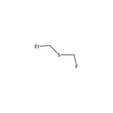 CCCSCF